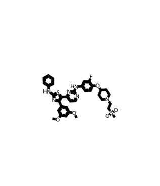 COc1cc(OC)cc(-c2nc(Nc3ccccc3)sc2-c2ccnc(Nc3ccc(OC4CCN(CCS(C)(=O)=O)CC4)c(F)c3)n2)c1